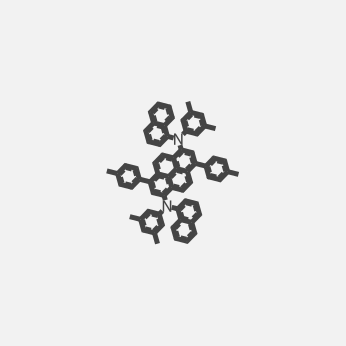 Cc1ccc(-c2cc(N(c3cc(C)cc(C)c3)c3cccc4ccccc34)c3ccc4c(-c5ccc(C)cc5)cc(N(c5cc(C)cc(C)c5)c5cccc6ccccc56)c5ccc2c3c45)cc1